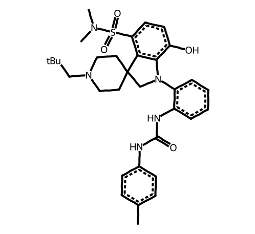 Cc1ccc(NC(=O)Nc2ccccc2N2CC3(CCN(CC(C)(C)C)CC3)c3c(S(=O)(=O)N(C)C)ccc(O)c32)cc1